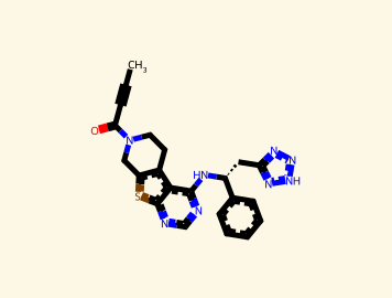 CC#CC(=O)N1CCc2c(sc3ncnc(N[C@H](Cc4nn[nH]n4)c4ccccc4)c23)C1